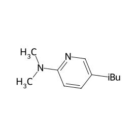 CCC(C)c1ccc(N(C)C)nc1